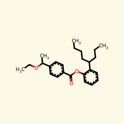 CCCCC(CCC)c1ccccc1OC(=O)c1ccc(C(C)OCC)cc1